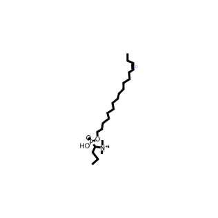 CC/C=C\CCCCCCCCCCCCCOP(=O)(O)C(CCC)[N+](C)(C)C